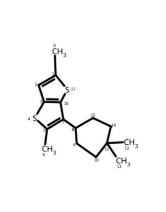 Cc1cc2sc(C)c(C3CCC(C)(C)CC3)c2s1